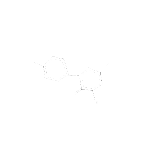 Cc1cc(N)c(=O)n(-c2ccc(C)nn2)c1